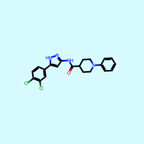 O=C(Nc1cc(-c2ccc(Cl)c(Cl)c2)[nH]n1)C1CCN(c2ccccc2)CC1